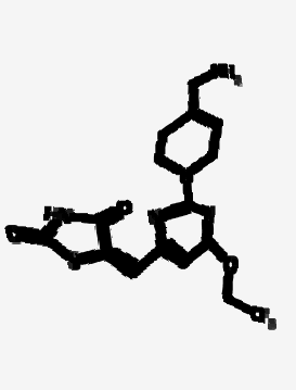 NCC1CCN(c2nc(C=C3SC(=O)NC3=O)cc(OCC(F)(F)F)n2)CC1